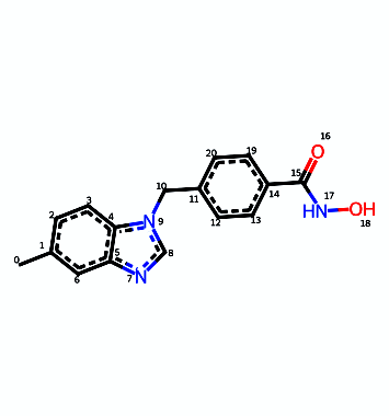 Cc1ccc2c(c1)ncn2Cc1ccc(C(=O)NO)cc1